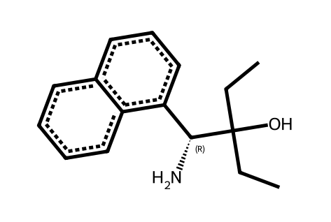 CCC(O)(CC)[C@H](N)c1cccc2ccccc12